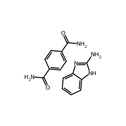 NC(=O)c1ccc(C(N)=O)cc1.Nc1nc2ccccc2[nH]1